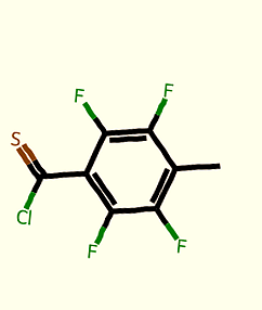 Cc1c(F)c(F)c(C(=S)Cl)c(F)c1F